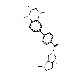 CC(=O)N1c2ccc(-c3ccc(C(=O)N4C[C@H]5CCN(C)[C@H]5C4)cc3)cc2N(C(=O)O)C[C@@H]1C